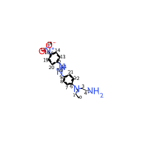 CCN(CCN)c1ccc(/N=N/c2ccc([N+](=O)[O-])cc2)cc1